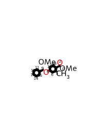 COC(=O)c1c(C)cc(OCc2ccccc2)cc1OC